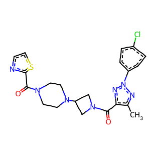 Cc1nn(-c2ccc(Cl)cc2)nc1C(=O)N1CC(N2CCN(C(=O)c3nccs3)CC2)C1